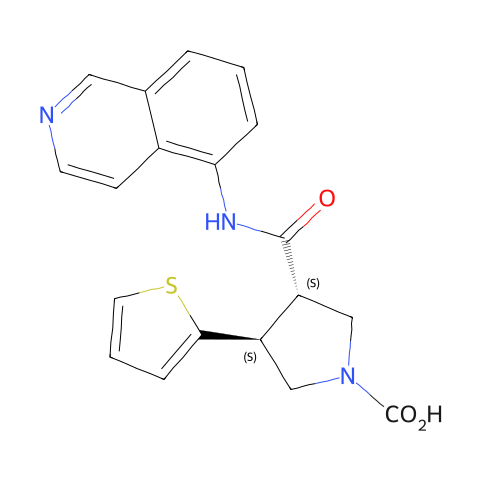 O=C(Nc1cccc2cnccc12)[C@@H]1CN(C(=O)O)C[C@H]1c1cccs1